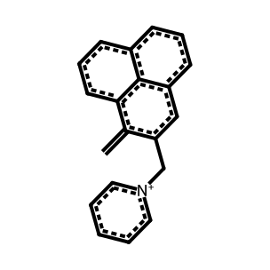 C=c1c(C[n+]2ccccc2)cc2cccc3cccc1c32